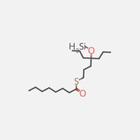 CCCCCCCC(=O)SCCCC(CCC)(CCC)O[SiH3]